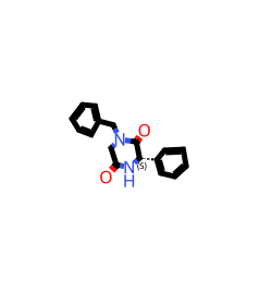 O=C1CN(Cc2ccccc2)C(=O)[C@H](c2ccccc2)N1